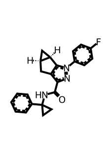 O=C(NC1(c2ccccc2)CC1)c1nn(-c2ccc(F)cc2)c2c1C[C@H]1C[C@@H]21